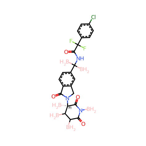 BC1C(=O)N(B)C(=O)[C@](B)(N2Cc3cc(C(B)(B)NC(=O)C(F)(F)c4ccc(Cl)cc4)ccc3C2=O)C1B